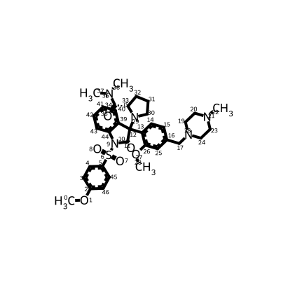 COc1ccc(S(=O)(=O)N2C(=O)C(c3ccc(CN4CCN(C)CC4)cc3OC)(N3CCC[C@H]3C(=O)N(C)C)c3ccccc32)cc1